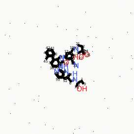 CCC(CO)NCc1cnc2c(NC3(c4nc5cc(CN6CC[C@@](C)(C(=O)O)C6)cc(C#N)c5o4)C=CC=C(c4ccccc4C)C3C)nccc2c1